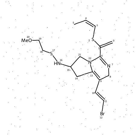 C=C(S/C=C\C)C1=NCC(/C=C/Br)=C2CC(NSCCOC)CN12